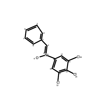 [O-][N+](=Cc1ccccc1)c1cc(Cl)c(Cl)c(Cl)c1